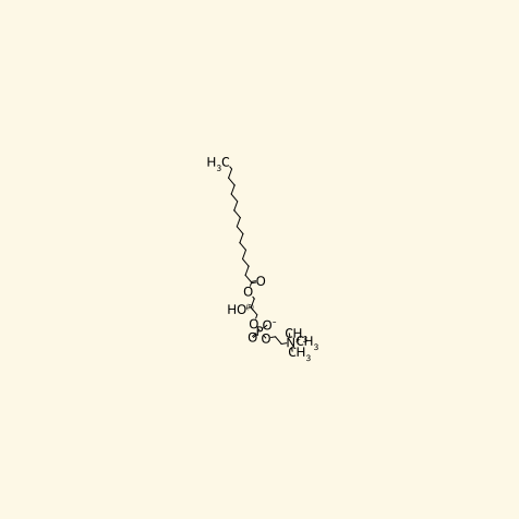 CCCCCCCCCCCCCCCC(=O)OC[C@@H](O)COP(=O)([O-])OCC[N+](C)(C)C